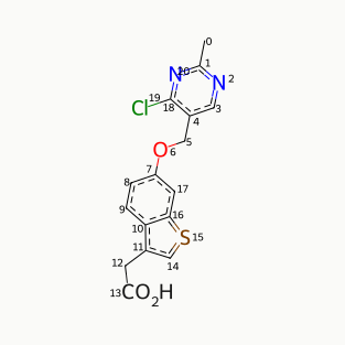 Cc1ncc(COc2ccc3c(CC(=O)O)csc3c2)c(Cl)n1